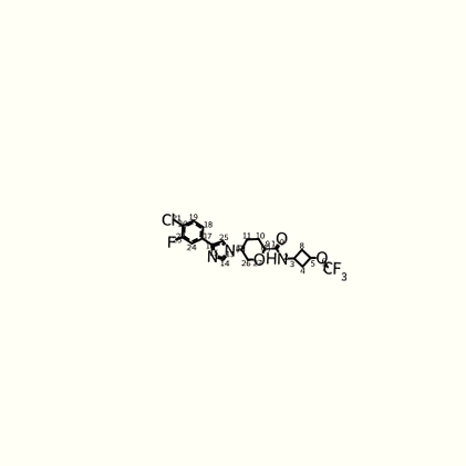 O=C(NC1CC(OC(F)(F)F)C1)[C@@H]1CC[C@@H](n2cnc(-c3ccc(Cl)c(F)c3)c2)CO1